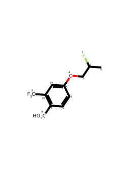 CC(F)COc1ccc(C(=O)O)c(C(F)(F)F)c1